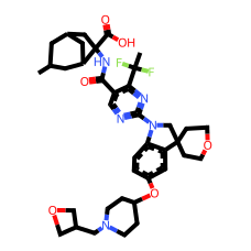 CC1CC2CC(C1)C(NC(=O)c1cnc(N3CC4(CCOCC4)c4cc(OC5CCN(CC6COC6)CC5)ccc43)nc1C(C)(F)F)(C(=O)O)C2